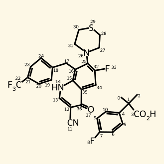 CC(C)(C(=O)O)c1ccc(F)cc1.N#Cc1c[nH]c2c(Cc3ccc(C(F)(F)F)cc3)c(N3CCSCC3)c(F)cc2c1=O